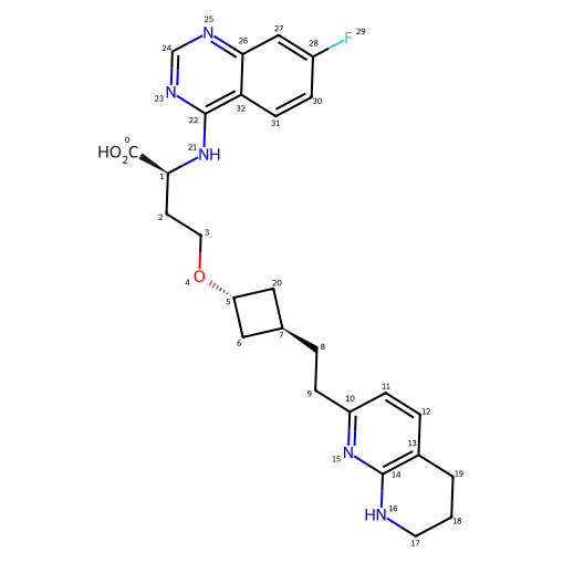 O=C(O)[C@H](CCO[C@H]1C[C@H](CCc2ccc3c(n2)NCCC3)C1)Nc1ncnc2cc(F)ccc12